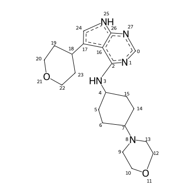 c1nc(NC2CCC(N3CCOCC3)CC2)c2c(C3CCOCC3)c[nH]c2n1